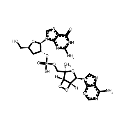 C[C@]1(COP(=O)(S)O[C@@H]2C[C@@H](CO)O[C@H]2n2cnc3c(=O)[nH]c(N)nc32)O[C@@H](n2cnc3c(N)ncnc32)[C@@H]2OO[C@@H]21